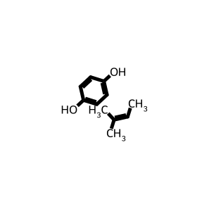 CC=C(C)C.Oc1ccc(O)cc1